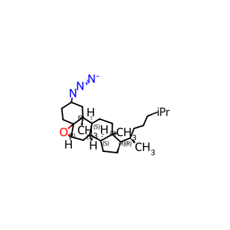 CC(C)CCC[C@@H](C)[C@H]1CC[C@H]2[C@@H]3C[C@H]4OC45CCC(N=[N+]=[N-])C[C@]5(C)[C@H]3CC[C@]12C